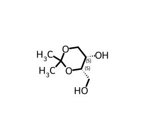 CC1(C)OC[C@H](O)[C@H](CO)O1